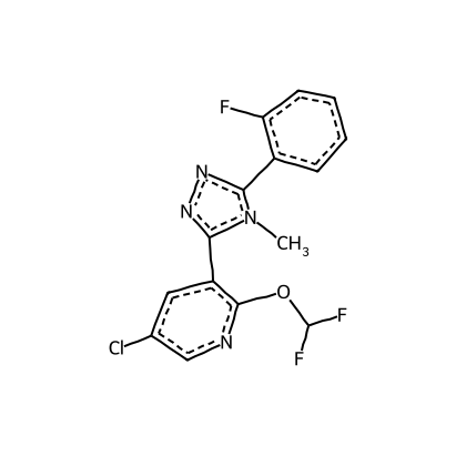 Cn1c(-c2ccccc2F)nnc1-c1cc(Cl)cnc1OC(F)F